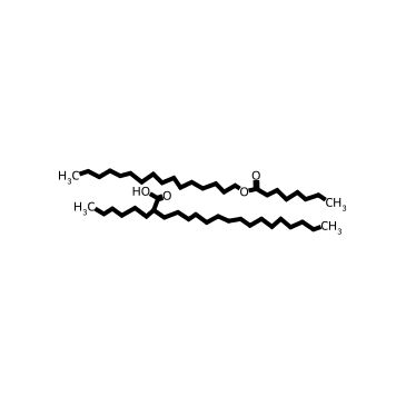 CCCCCCCCCCCCCCCCC(CCCCCC)C(=O)O.CCCCCCCCCCCCCCCCOC(=O)CCCCCCC